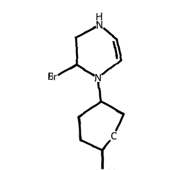 COC1CCC(N2C=CNCC2Br)CC1